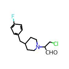 O=CC(CCl)N1CCC(Cc2ccc(F)cc2)CC1